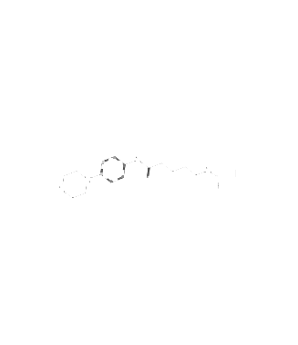 CC(C)(C)[S+]([O-])NCCCCC(=O)Nc1ccc(N2CCNCC2)cc1